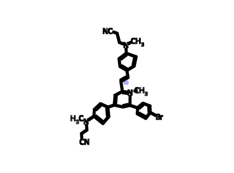 CN(CCC#N)c1ccc(/C=C/c2cc(-c3ccc(N(C)CCC#N)cc3)cc(-c3ccc(Br)cc3)[n+]2C)cc1